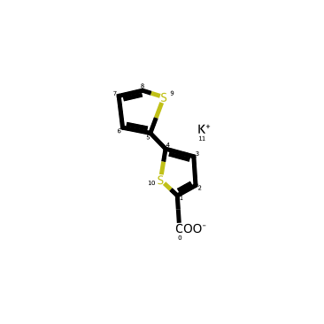 O=C([O-])c1ccc(-c2cccs2)s1.[K+]